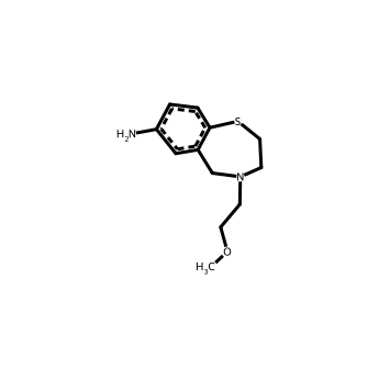 COCCN1CCSc2ccc(N)cc2C1